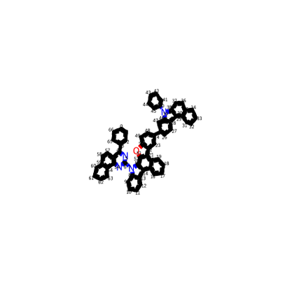 c1ccc(-c2nc(-n3c4ccccc4c4c5ccccc5c5c6cc(-c7ccc8c9c%10ccccc%10ccc9n(-c9ccccc9)c8c7)ccc6oc5c43)nc3c2ccc2ccccc23)cc1